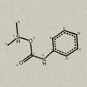 C[SiH](C)OC(=O)Nc1ccccc1